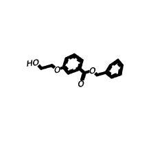 O=C(OCc1ccccc1)c1cccc(OCCO)c1